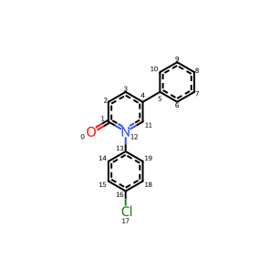 O=c1ccc(-c2ccccc2)cn1-c1ccc(Cl)cc1